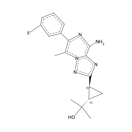 Cc1c(-c2cccc(F)c2)nc(N)c2nc([C@H]3C[C@@H]3C(C)(C)O)nn12